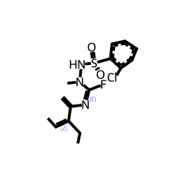 C=C(/N=C(/F)N(C)NS(=O)(=O)c1ccccc1Cl)/C(=C\C)CC